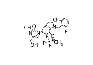 CCn1c(CO)nn(-c2cc(O[C@H](C)C(F)(F)F)c3c(ccn3Cc3c(F)cccc3Cl)c2)c1=O